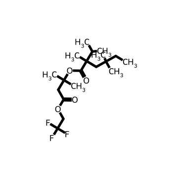 CCC(C)(C)CC(C)(C(=O)OC(C)(C)CC(=O)OCC(F)(F)F)C(C)C